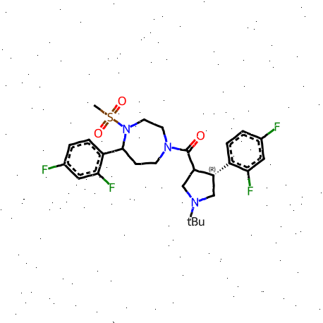 CC(C)(C)N1CC(C(=O)N2CCC(c3ccc(F)cc3F)N(S(C)(=O)=O)CC2)[C@H](c2ccc(F)cc2F)C1